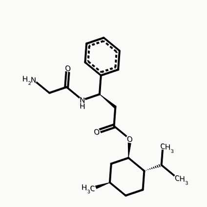 CC(C)[C@@H]1CC[C@@H](C)C[C@H]1OC(=O)C[C@@H](NC(=O)CN)c1ccccc1